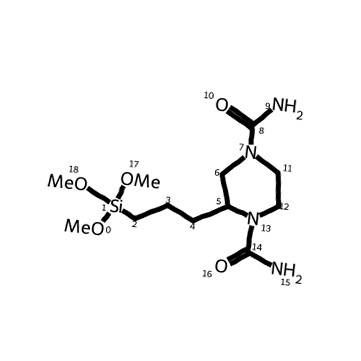 CO[Si](CCCC1CN(C(N)=O)CCN1C(N)=O)(OC)OC